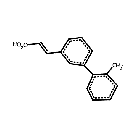 [CH2]c1ccccc1-c1cccc(/C=C/C(=O)O)c1